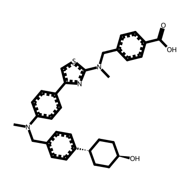 CN(Cc1ccc([C@H]2CC[C@H](O)CC2)cc1)c1ccc(-c2csc(N(C)Cc3ccc(C(=O)O)cc3)n2)cc1